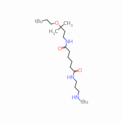 CC(C)(C)CCOC(C)(C)CCNC(=O)CCCCC(=O)NCCCNC(C)(C)C